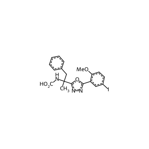 COc1ccc(I)cc1-c1nnc(C(C)(Cc2ccccc2)NC(=O)O)o1